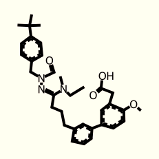 CCN(C)/C(CCCc1cccc(-c2ccc(OC)c(CC(=O)O)c2)c1)=N\N(C=O)Cc1ccc(C(C)(C)C)cc1